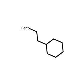 [CH2]C(CCC)CCC1CCCCC1